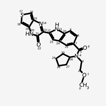 COCCN(C(=O)c1ccc2[nH]c(-c3nc4cscc4[nH]c3=O)cc2c1)C1CCCC1